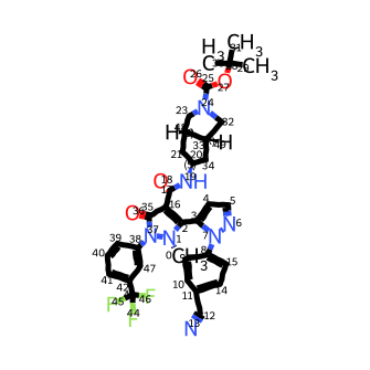 Cn1c(-c2ccnn2-c2ccc(C#N)cc2)c(C(=O)N[C@H]2C[C@@H]3CN(C(=O)OC(C)(C)C)C[C@@H]3C2)c(=O)n1-c1cccc(C(F)(F)F)c1